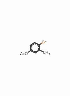 CC(=O)Oc1ccc(Br)c(C)c1